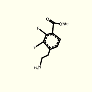 COC(=O)c1ccc(CCN)c(F)c1F